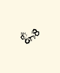 CN(Cc1cn2c(N3CC[C@@H](N)C3)cccc2n1)C1CCCc2cccnc21